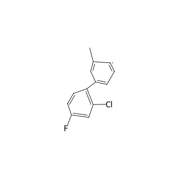 Cc1[c]ccc(-c2ccc(F)cc2Cl)c1